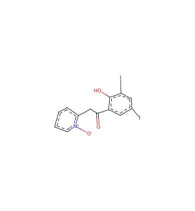 O=C(Cc1cccc[n+]1[O-])c1cc(I)cc(I)c1O